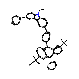 CCn1c2ccc(-c3ccccc3)cc2c2cc(-c3ccc(-c4c5ccc(C(C)(C)C)cc5c(-c5ccccc5)c5ccc(C(C)(C)C)cc45)cc3)ccc21